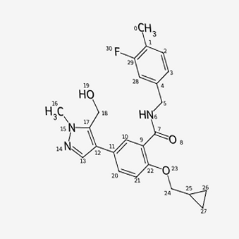 Cc1ccc(CNC(=O)c2cc(-c3cnn(C)c3CO)ccc2OCC2CC2)cc1F